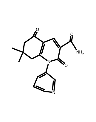 CC1(C)CC(=O)c2cc(C(N)=O)c(=O)n(-c3cccnc3)c2C1